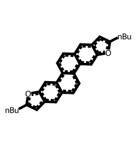 CCCCc1cc2cc3ccc4c5cc6oc(CCCC)cc6cc5ccc4c3cc2o1